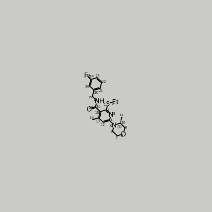 CCSc1nc(N2CCOC[C@@H]2C)cc(C)c1C(=O)NCc1cccc(F)c1